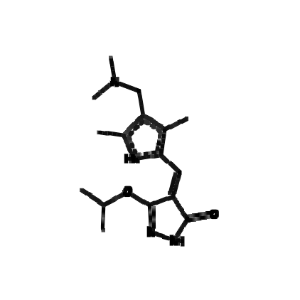 Cc1[nH]c(/C=C2/C(=O)NN=C2OC(C)C)c(C)c1CN(C)C